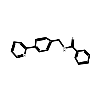 O=C(NCc1ccc(-c2ccccn2)cc1)c1ccccc1